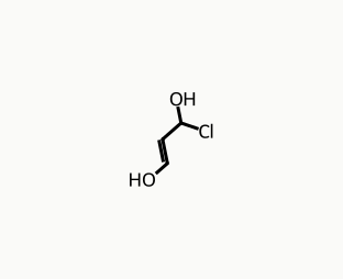 OC=CC(O)Cl